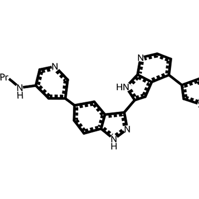 CC(C)Nc1cncc(-c2ccc3[nH]nc(-c4cc5c(-c6ccsc6)ccnc5[nH]4)c3c2)c1